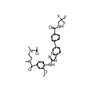 COc1cc(C(=O)N(C)CCN(C)C(C)=O)ccc1Nc1nc2ccc(-c3ccc(C(=O)NCC(F)(F)F)cc3)cn2n1